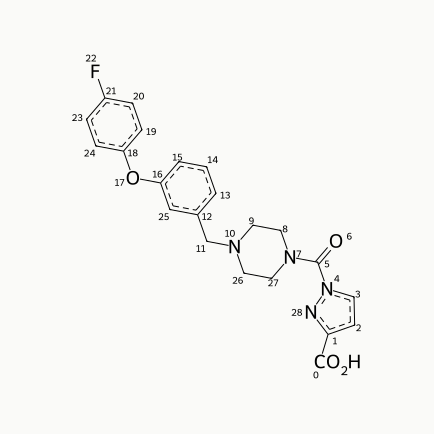 O=C(O)c1ccn(C(=O)N2CCN(Cc3cccc(Oc4ccc(F)cc4)c3)CC2)n1